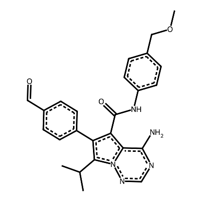 COCc1ccc(NC(=O)c2c(-c3ccc(C=O)cc3)c(C(C)C)n3ncnc(N)c23)cc1